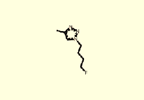 Cc1cn(CCCCF)nn1